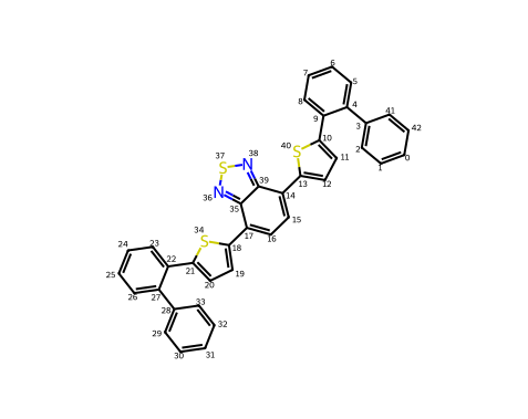 c1ccc(-c2ccccc2-c2ccc(-c3ccc(-c4ccc(-c5ccccc5-c5ccccc5)s4)c4nsnc34)s2)cc1